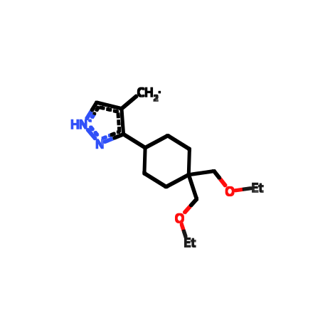 [CH2]c1c[nH]nc1C1CCC(COCC)(COCC)CC1